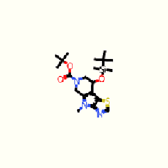 Cn1c2c(c3scnc31)C(O[Si](C)(C)C(C)(C)C)CN(C(=O)OC(C)(C)C)C2